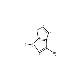 Cp1cc(Br)c2c1CC=C2